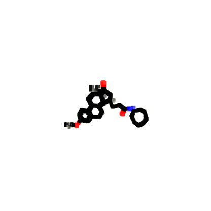 COc1ccc2c(c1)CCC1C2CC[C@]2(C)C(=O)C[C@@H](CCC(=O)NC3CCCCCCC3)C12